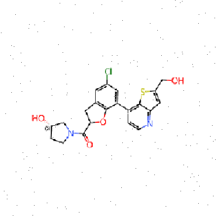 O=C(C1Cc2cc(Cl)cc(-c3ccnc4cc(CO)sc34)c2O1)N1CC[C@H](O)C1